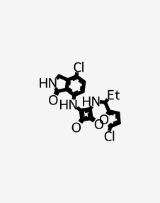 CCC(Nc1c(Nc2ccc(Cl)c3c2C(=O)NC3)c(=O)c1=O)c1ccc(Cl)o1